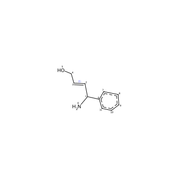 NC(/C=C/CO)c1ccccc1